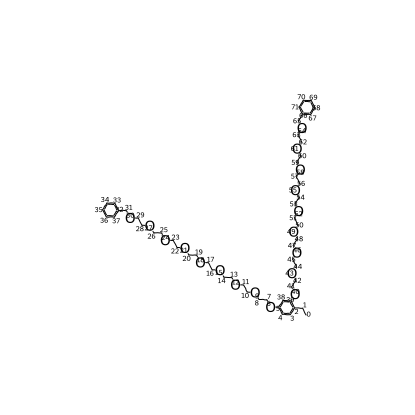 CCc1ccc(OCCOCCOCCOCCOCCOCCOCCOCCOCc2ccccc2)cc1OCCOCCOCCOCCOCCOCCOCCOCCOCc1ccccc1